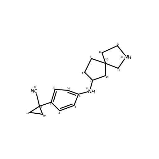 N#CC1(c2ccc(NC3CCC4(CCNC4)C3)cc2)CC1